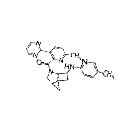 Cc1ccc(NC2CC34CC3CN(C(=O)c3nc(C)ccc3-c3ncccn3)C24)nc1